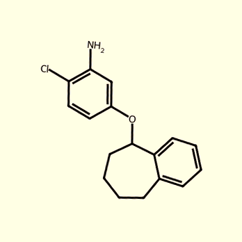 Nc1cc(OC2CCCCc3ccccc32)ccc1Cl